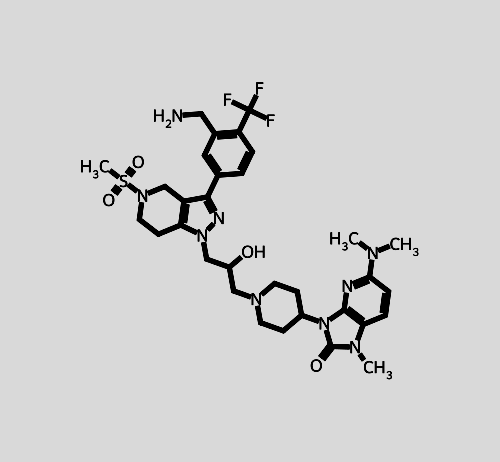 CN(C)c1ccc2c(n1)n(C1CCN(CC(O)Cn3nc(-c4ccc(C(F)(F)F)c(CN)c4)c4c3CCN(S(C)(=O)=O)C4)CC1)c(=O)n2C